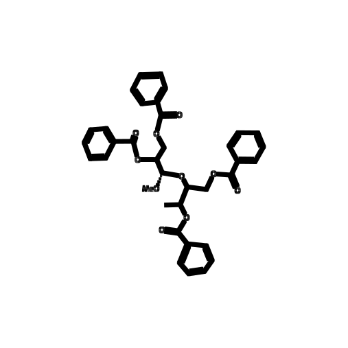 CO[C@@H](OC(COC(=O)c1ccccc1)C(C)OC(=O)c1ccccc1)C(COC(=O)c1ccccc1)OC(=O)c1ccccc1